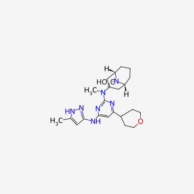 Cc1cc(Nc2cc(C3CCOCC3)nc(N(C)C3C[C@H]4CCC[C@@H](C3)N4C(=O)O)n2)n[nH]1